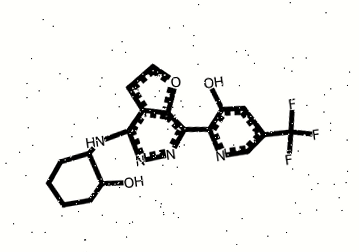 Oc1cc(C(F)(F)F)cnc1-c1nnc(NC2CCCCC2O)c2ccoc12